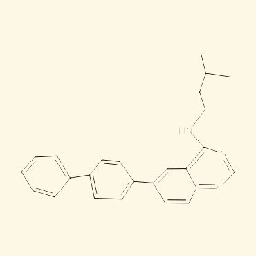 CC(C)CCNc1ncnc2ccc(-c3ccc(-c4ccccc4)cc3)cc12